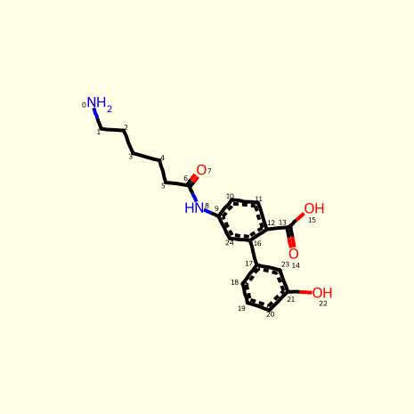 NCCCCCC(=O)Nc1ccc(C(=O)O)c(-c2cccc(O)c2)c1